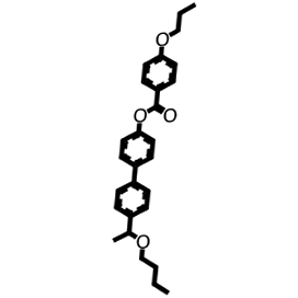 CCCCOC(C)c1ccc(-c2ccc(OC(=O)c3ccc(OCCC)cc3)cc2)cc1